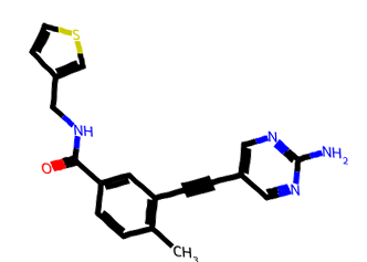 Cc1ccc(C(=O)NCc2ccsc2)cc1C#Cc1cnc(N)nc1